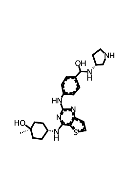 C[C@]1(O)CC[C@H](Nc2nc(Nc3ccc(C(O)N[C@@H]4CCNC4)cc3)nc3ccsc23)CC1